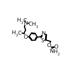 CC(CCN(C)C)Oc1ccc(-c2ncc(COC(N)=O)s2)cc1